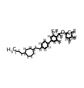 CCCCC1CCCC(CCc2ccc(-c3cc(F)c(C(F)(F)Oc4cc(F)c(F)c(F)c4)c(F)c3)cc2)CC1